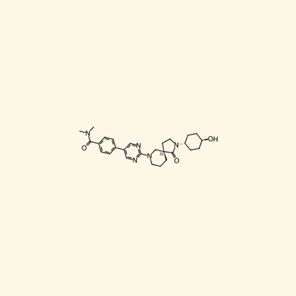 CN(C)C(=O)c1ccc(-c2cnc(N3CCC[C@]4(CCN([C@H]5CC[C@H](O)CC5)C4=O)C3)nc2)cc1